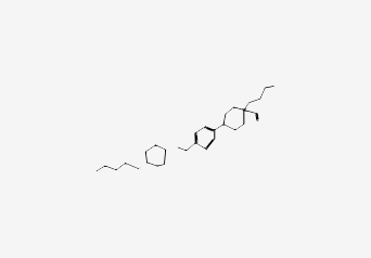 CCCCC[C@H]1CC[C@H](CCc2ccc(C3CCC(C=O)(CCCC)CC3)cc2)CC1